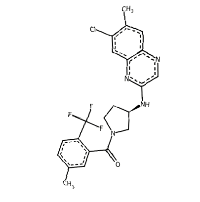 Cc1ccc(C(F)(F)F)c(C(=O)N2CC[C@@H](Nc3cnc4cc(C)c(Cl)cc4n3)C2)c1